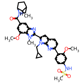 COc1cc(NS(C)(=O)=O)ccc1-c1ccc2cc(-c3nc4cc(C(=O)N5CC6CCC5[C@@H]6C)cc(OC)c4n3C)n(CC3CC3)c2n1